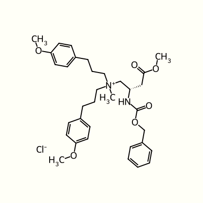 COC(=O)C[C@@H](C[N+](C)(CCCc1ccc(OC)cc1)CCCc1ccc(OC)cc1)NC(=O)OCc1ccccc1.[Cl-]